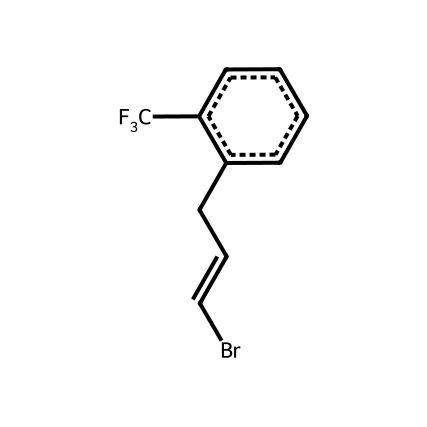 FC(F)(F)c1ccccc1C/C=C/Br